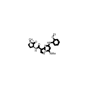 CCOc1ccccc1Nc1cc(NC)n2ncc(C(=O)N[C@H]3CCN(C)C3=O)c2n1